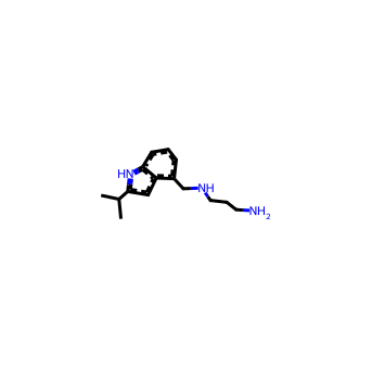 CC(C)c1cc2c(CNCCCN)cccc2[nH]1